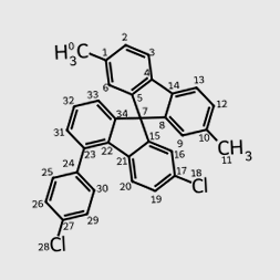 Cc1ccc2c(c1)C1(c3cc(C)ccc3-2)c2cc(Cl)ccc2-c2c(-c3ccc(Cl)cc3)cccc21